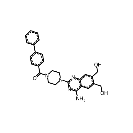 Nc1nc(N2CCN(C(=O)c3ccc(-c4ccccc4)cc3)CC2)nc2cc(CO)c(CO)cc12